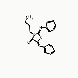 CCCCN1C(=O)C(=Cc2ccccc2)SC1=Nc1ccccc1